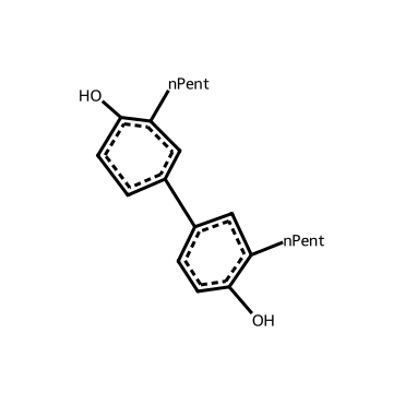 CCCCCc1cc(-c2ccc(O)c(CCCCC)c2)ccc1O